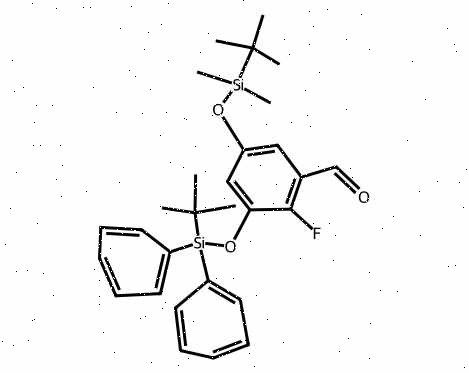 CC(C)(C)[Si](C)(C)Oc1cc(C=O)c(F)c(O[Si](c2ccccc2)(c2ccccc2)C(C)(C)C)c1